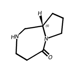 O=C1CCNC[C@@H]2CCCN12